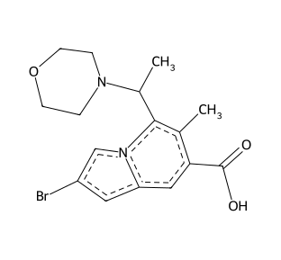 Cc1c(C(=O)O)cc2cc(Br)cn2c1C(C)N1CCOCC1